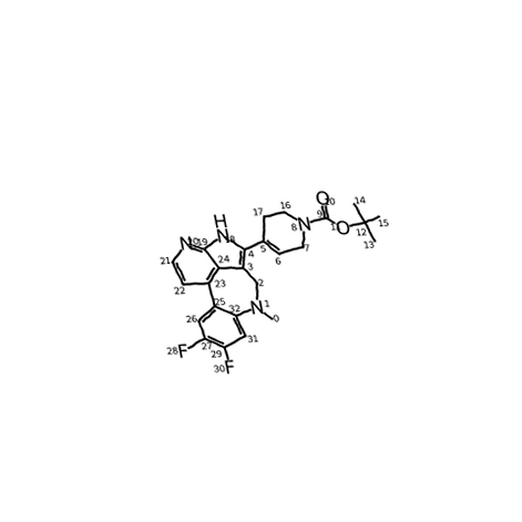 CN1Cc2c(C3=CCN(C(=O)OC(C)(C)C)CC3)[nH]c3nccc(c23)-c2cc(F)c(F)cc21